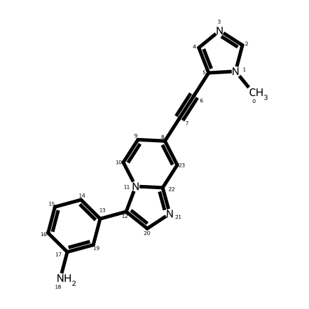 Cn1cncc1C#Cc1ccn2c(-c3cccc(N)c3)cnc2c1